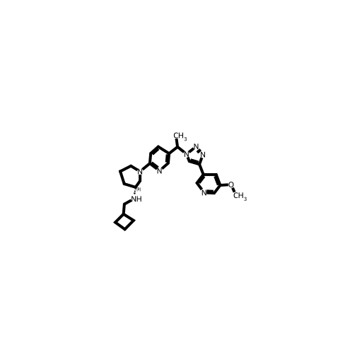 COc1cncc(-c2cn(C(C)c3ccc(N4CCC[C@@H](NCC5CCC5)C4)nc3)nn2)c1